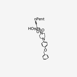 CCCCCC#CC(CS(=O)(=O)N1CCN(c2ccc(OCc3ccccc3)cc2)CC1)NO